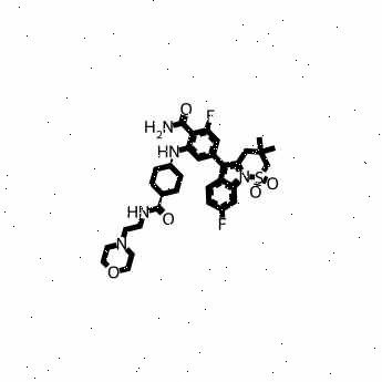 CC1(C)Cc2c(-c3cc(F)c(C(N)=O)c(N[C@H]4CC[C@H](C(=O)NCCN5CCOCC5)CC4)c3)c3ccc(F)cc3n2S(=O)(=O)C1